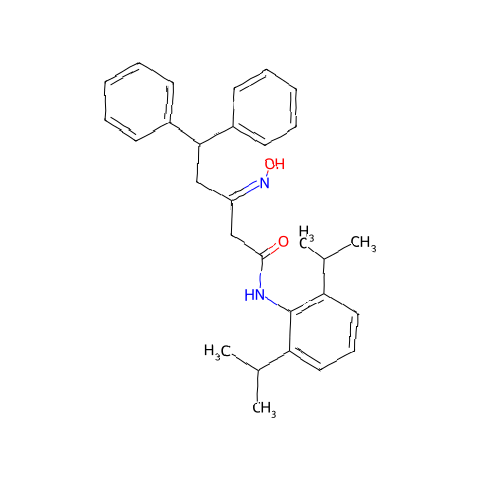 CC(C)c1cccc(C(C)C)c1NC(=O)CC(CC(c1ccccc1)c1ccccc1)=NO